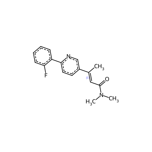 C/C(=C\C(=O)N(C)C)c1ccc(-c2ccccc2F)nc1